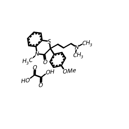 COc1ccc(C2(CCCN(C)C)Sc3ccccc3N(C)C2=O)cc1.O=C(O)C(=O)O